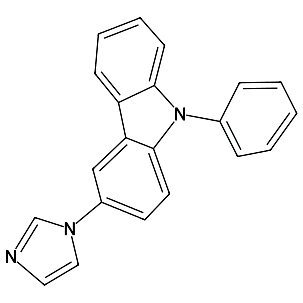 c1ccc(-n2c3ccccc3c3cc(-n4ccnc4)ccc32)cc1